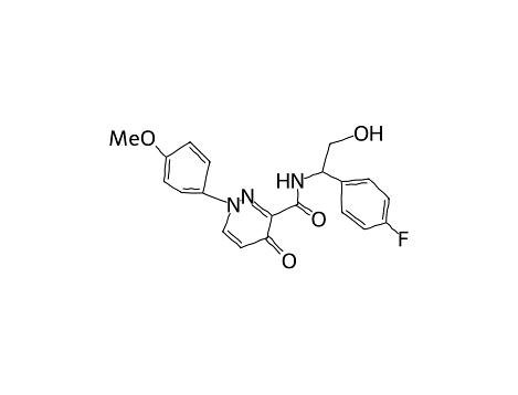 COc1ccc(-n2ccc(=O)c(C(=O)NC(CO)c3ccc(F)cc3)n2)cc1